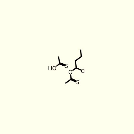 CC(O)=S.CCCC(Cl)OC(C)=S